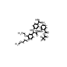 CCOc1cc(C(Nc2ccc(C(=N)N)cc2)C(=O)NNc2ccccc2C(=O)OC(=O)C(F)(F)F)ccc1OCCOC